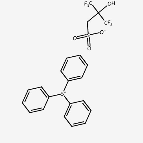 O=S(=O)([O-])CC(O)(C(F)(F)F)C(F)(F)F.c1ccc([S+](c2ccccc2)c2ccccc2)cc1